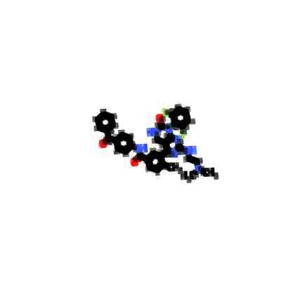 Cc1ccc(C(=O)Nc2ccc(C(=O)c3ccccc3)cc2)cc1-c1nc(NCCN(C)C)nc2c1CNC(=O)N2c1c(F)cccc1F